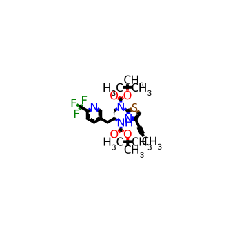 CC#Cc1csc(N(C[C@@H](Cc2ccc(C(F)(F)F)nc2)NC(=O)OC(C)(C)C)C(=O)OC(C)(C)C)n1